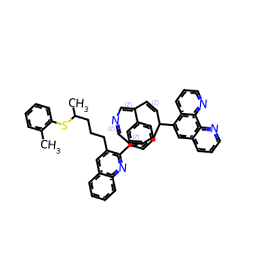 Cc1ccccc1SC(C)CCCc1cc2ccccc2nc1-c1cccc(C2=C\N=C/C=C\CC(c3cc4cccnc4c4ncccc34)/C=C\2)c1